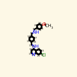 COc1ccc(CNCc2ccc(CNc3ccnc4cc(Cl)ccc34)cc2)cc1